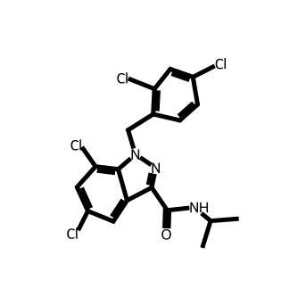 CC(C)NC(=O)c1nn(Cc2ccc(Cl)cc2Cl)c2c(Cl)cc(Cl)cc12